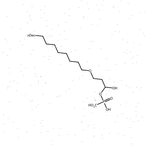 CCCCCCCCCCCCCCCCCCOCCC(O)OP(=O)(O)C(=O)O